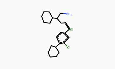 Cl.NCC(C/C=C\c1ccc(C2CCCCC2)c(Cl)c1)C1CCCCC1